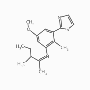 CCC(C)/C(C)=N\c1cc(OC)cc(-c2nccs2)c1C